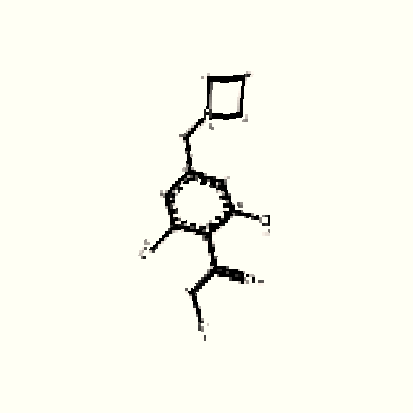 O=C(CBr)c1c(Cl)cc(CN2CCC2)cc1Cl